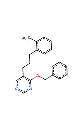 O=C(O)c1ccccc1CCCc1cncnc1OCc1ccccc1